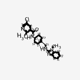 Cc1ncc(Cl)cc1C(=O)N[C@H]1CC[C@H](CNc2nc3ccccc3n2C)CC1